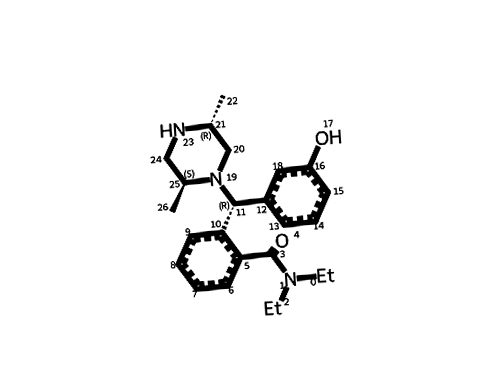 CCN(CC)C(=O)c1ccccc1[C@@H](c1cccc(O)c1)N1C[C@@H](C)NC[C@@H]1C